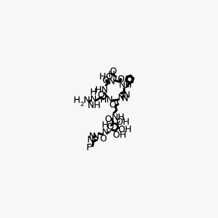 N=C(N)NCCC[C@@H]1NC(=O)[C@H](CCCCNC(=O)C2O[C@H](CNC(=O)Cn3cc(CF)nn3)C(O)[C@H](O)[C@@H]2O)n2cc(nn2)[C@H](Cc2ccccc2)NC(=O)[C@H](CC(=O)O)NC(=O)CNC1=O